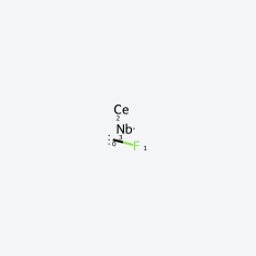 [C]F.[Ce].[Nb]